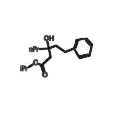 CCCC(O)(CCc1ccccc1)CC(=O)OC(C)C